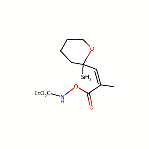 CCOC(=O)NOC(=O)C(C)=CC1([SiH3])CCCCO1